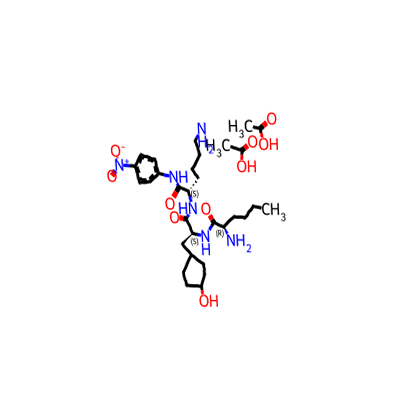 CC(=O)O.CC(=O)O.CCCC[C@@H](N)C(=O)N[C@@H](CC1CCC(O)CC1)C(=O)N[C@@H](CCCCN)C(=O)Nc1ccc([N+](=O)[O-])cc1